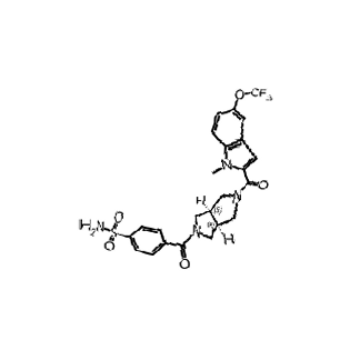 Cn1c(C(=O)N2C[C@H]3CN(C(=O)c4ccc(S(N)(=O)=O)cc4)C[C@H]3C2)cc2cc(OC(F)(F)F)ccc21